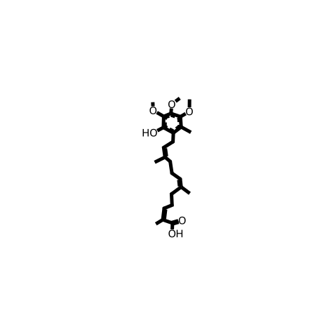 COc1c(C)c(CC=C(C)CCC=C(C)CCC=C(C)C(=O)O)c(O)c(OC)c1OC